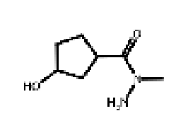 CN(N)C(=O)C1CCC(O)C1